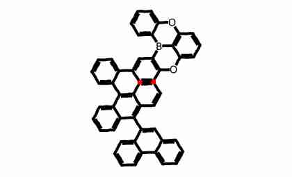 c1ccc2c(c1)Oc1cccc3c1B2c1cc(-c2ccccc2-c2c4ccccc4c(-c4cc5ccccc5c5ccccc45)c4ccccc24)ccc1O3